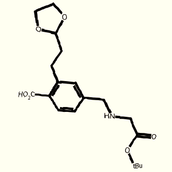 CC(C)(C)OC(=O)CNCc1ccc(C(=O)O)c(CCC2OCCO2)c1